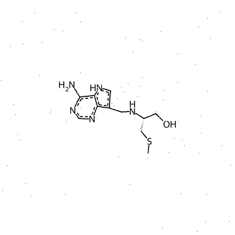 CSC[C@@H](CO)NCc1c[nH]c2c(N)ncnc12